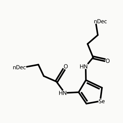 CCCCCCCCCCCCC(=O)Nc1c[se]cc1NC(=O)CCCCCCCCCCCC